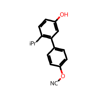 CC(C)c1ccc(O)cc1-c1ccc(OC#N)cc1